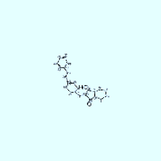 O=C1C2CCCCC2C(O)N1CC1CCN(CCc2ccccc2)CC1